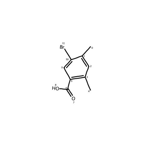 Cc1cc(C)c(C(=O)O)cc1Br